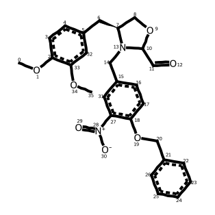 COc1ccc(C[C@H]2COC(C=O)N2Cc2ccc(OCc3ccccc3)c([N+](=O)[O-])c2)cc1OC